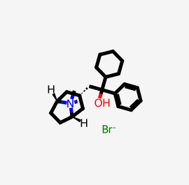 C[N+]1(C)[C@@H]2CC[C@H]1C[C@@H](CC(O)(c1ccccc1)C1CCCCC1)C2.[Br-]